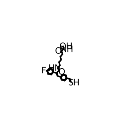 O=C(CCCCCNC(=O)C(=Cc1ccc(CS)cc1)c1ccc(F)cc1)NO